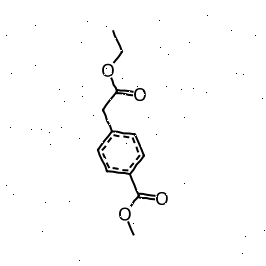 CCOC(=O)Cc1ccc(C(=O)OC)cc1